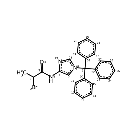 CC(Br)C(=O)Nc1cn(C(c2ccccc2)(c2ccccc2)c2ccccc2)cn1